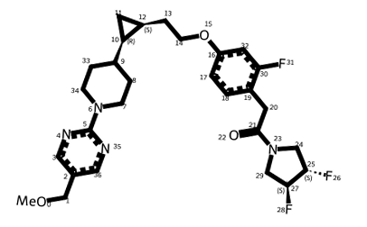 COCc1cnc(N2CCC([C@H]3C[C@H]3CCOc3ccc(CC(=O)N4C[C@H](F)[C@@H](F)C4)c(F)c3)CC2)nc1